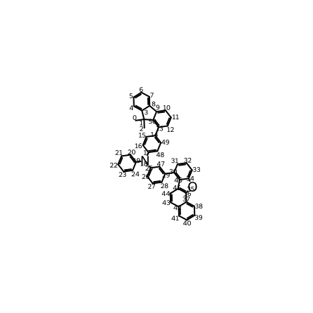 CC1(C)c2ccccc2-c2cccc(-c3ccc(N(c4ccccc4)c4cccc(-c5cccc6oc7c8ccccc8ccc7c56)c4)cc3)c21